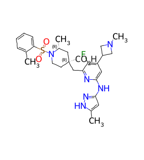 Cc1cc(Nc2cc(C3CN(C)C3)c(F)c(C[C@@]3(C(=O)O)CCN(S(=O)(=O)c4ccccc4C)[C@H](C)C3)n2)n[nH]1